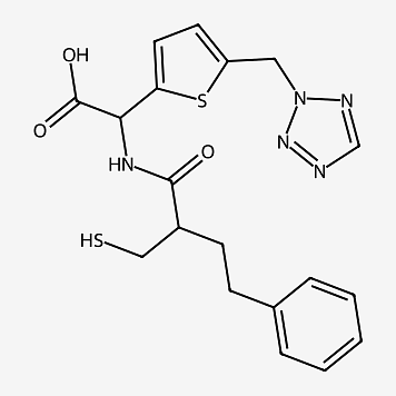 O=C(NC(C(=O)O)c1ccc(Cn2ncnn2)s1)C(CS)CCc1ccccc1